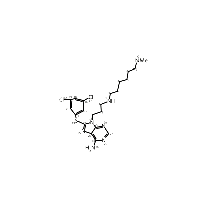 CNCCCCCCNCCCn1c(Sc2cc(Cl)cc(Cl)c2)nc2c(N)ncnc21